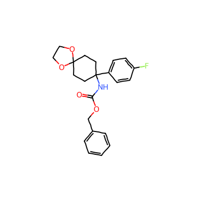 O=C(NC1(c2ccc(F)cc2)CCC2(CC1)OCCO2)OCc1ccccc1